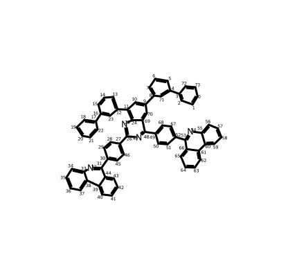 c1ccc(-c2cccc(-c3cc(-c4cccc(-c5ccccc5)c4)c4nc(-c5ccc(-c6nc7ccccc7c7ccccc67)cc5)nc(-c5ccc(-c6nc7ccccc7c7ccccc67)cc5)c4c3)c2)cc1